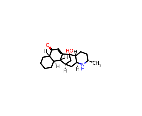 C[C@@H]1CC[C@H]2[C@H](C[C@@H]3C[C@@]2(O)C2=CC(=O)[C@H]4CCCC[C@@H]4[C@H]23)N1